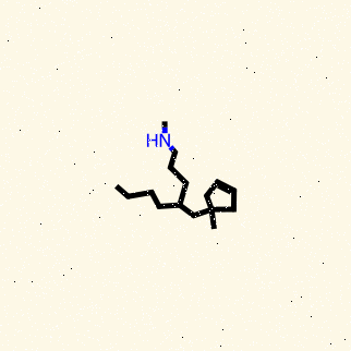 CCCCC(CCCNC)CC1(C)CC=CC1